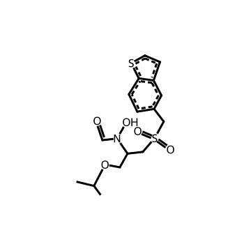 CC(C)OCC(CS(=O)(=O)Cc1ccc2sccc2c1)N(O)C=O